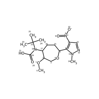 COC1COC(c2c([N+](=O)[O-])cnn2C)CCC1N(C(=O)O)C(C)(C)C